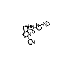 O=C(Nc1cccc(CN2CCCC2)n1)c1cccc2ccc(-c3cccnc3)nc12